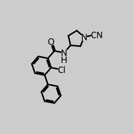 N#CN1CCC(NC(=O)c2cccc(-c3ccccc3)c2Cl)C1